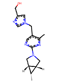 Cc1nc(N2C[C@@H]3[C@H](C)[C@@H]3C2)ncc1Cn1cnc(CO)c1